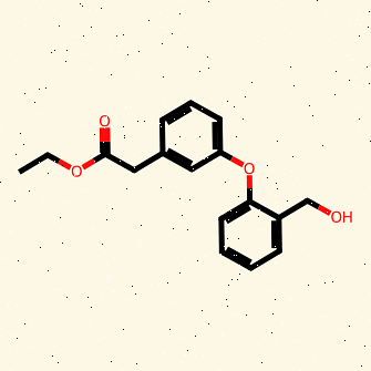 CCOC(=O)Cc1cccc(Oc2ccccc2CO)c1